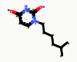 CC(C)CCCCn1ccc(=O)[nH]c1=O